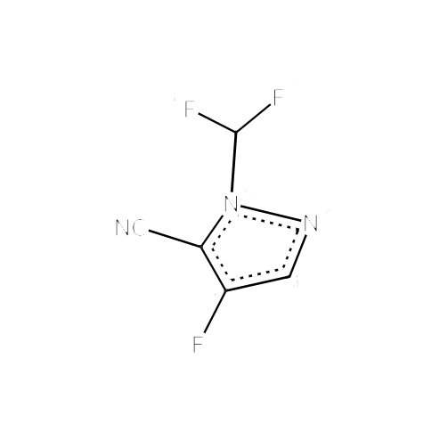 N#Cc1c(F)[c]nn1C(F)F